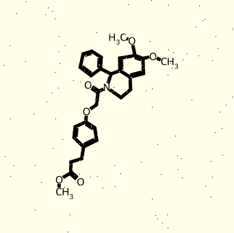 COC(=O)CCc1ccc(OCC(=O)N2CCc3cc(OC)c(OC)cc3C2c2ccccc2)cc1